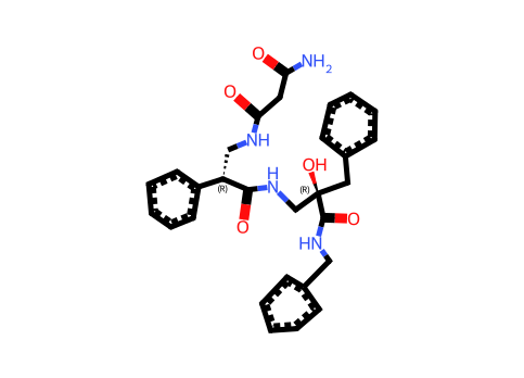 NC(=O)CC(=O)NC[C@H](C(=O)NC[C@](O)(Cc1ccccc1)C(=O)NCc1ccccc1)c1ccccc1